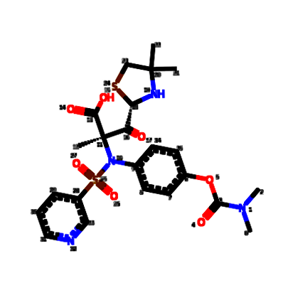 CN(C)C(=O)Oc1ccc(N([C@@](C)(C(=O)O)C(=O)[C@H]2NC(C)(C)CS2)S(=O)(=O)c2cccnc2)cc1